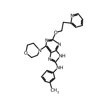 Cc1cccc(Nc2nc3c(N4CCOCC4)nc(OCCc4ccccn4)nc3[nH]2)c1